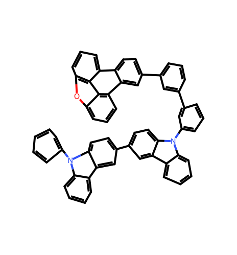 c1ccc(-n2c3ccccc3c3cc(-c4ccc5c(c4)c4ccccc4n5-c4cccc(-c5cccc(-c6ccc7c(c6)c6cccc8oc9cccc7c9c86)c5)c4)ccc32)cc1